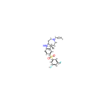 CCN1CCC2Nc3ccc(S(=O)(=O)c4cc(F)cc(F)c4)cc3[C@H]2CC1